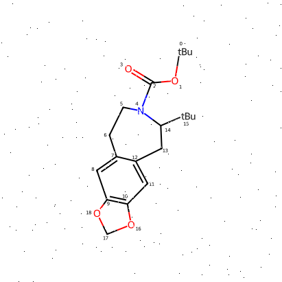 CC(C)(C)OC(=O)N1CCc2cc3c(cc2CC1C(C)(C)C)OCO3